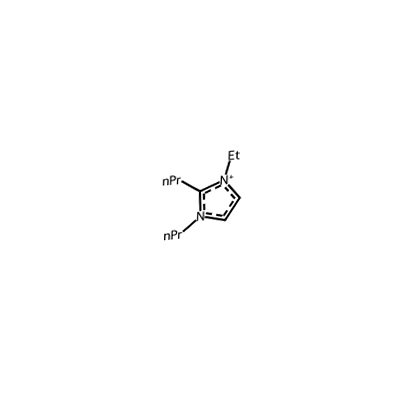 CCCc1n(CCC)cc[n+]1CC